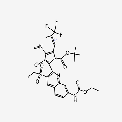 C=Nc1c(Cl)c(-c2nc3cc(NC(=O)OCC)ccc3cc2S(=O)(=O)CC)n(C(=O)OC(C)(C)C)c1/C=C(\C)C(F)(F)F